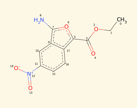 CCOC(=O)c1oc(N)c2cc([N+](=O)[O-])ccc12